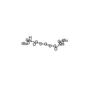 CC(C)(C)OC(=O)NCCC(=O)OCCOCCOCCOCCOC(=O)CCNC(=O)OC(C)(C)C